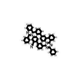 N#Cc1ccccc1-c1cccc(-c2nc(-c3ccccc3)nc(-c3ccccc3-c3cccc(-c4cccc(-c5nc(-c6ccccc6)nc6ccccc56)c4)c3)n2)c1